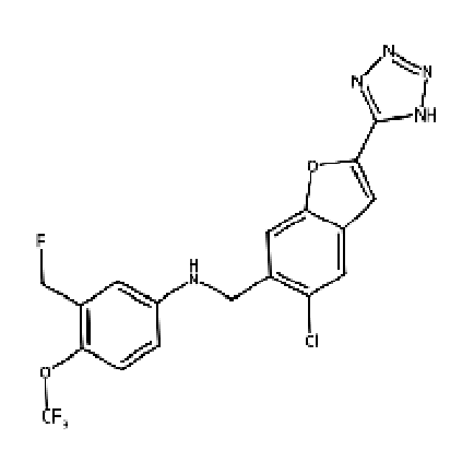 FCc1cc(NCc2cc3oc(-c4nnn[nH]4)cc3cc2Cl)ccc1OC(F)(F)F